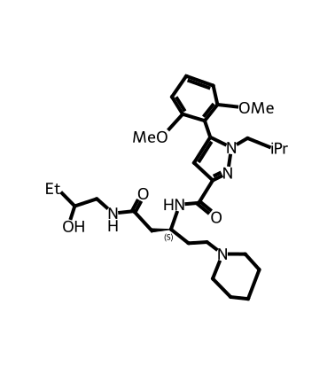 CCC(O)CNC(=O)C[C@H](CCN1CCCCC1)NC(=O)c1cc(-c2c(OC)cccc2OC)n(CC(C)C)n1